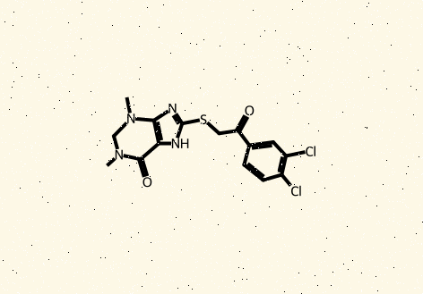 CN1CN(C)c2nc(SCC(=O)c3ccc(Cl)c(Cl)c3)[nH]c2C1=O